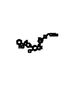 COCC12CC(n3cc(-n4ncc5cc(Cl)c(N6CC7C8(CC8C7(O)c7ccccc7)C6)cc54)cn3)(C1)C2